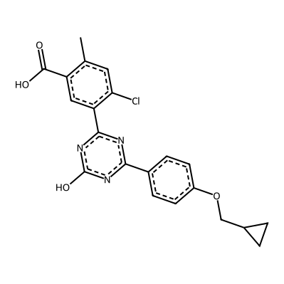 Cc1cc(Cl)c(-c2nc(O)nc(-c3ccc(OCC4CC4)cc3)n2)cc1C(=O)O